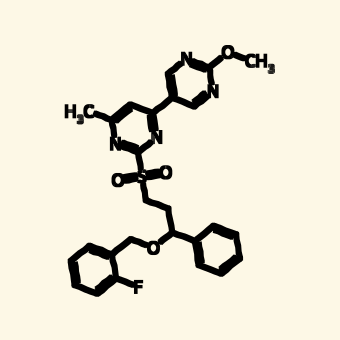 COc1ncc(-c2cc(C)nc(S(=O)(=O)CCC(OCc3ccccc3F)c3ccccc3)n2)cn1